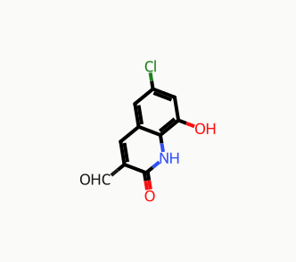 O=Cc1cc2cc(Cl)cc(O)c2[nH]c1=O